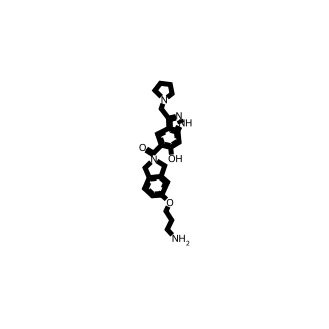 NCCCOc1ccc2c(c1)CN(C(=O)c1cc3c(CN4CCCC4)n[nH]c3cc1O)C2